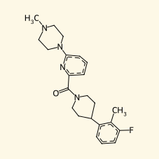 Cc1c(F)cccc1C1CCN(C(=O)c2cccc(N3CCN(C)CC3)n2)CC1